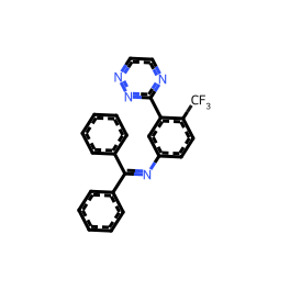 FC(F)(F)c1ccc(N=C(c2ccccc2)c2ccccc2)cc1-c1nccnn1